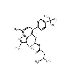 CCn1nc(C)c(C)c1/C(OC(C)OC(=O)OC(C)C)=C(\C=N/C)c1ccc(C(C)(C)C)cc1